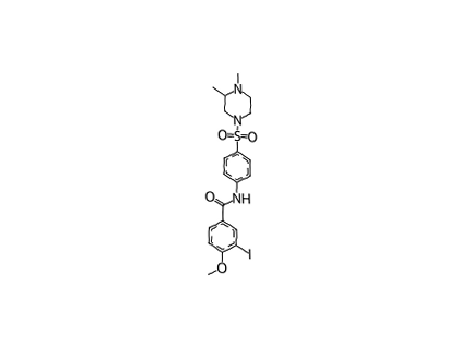 COc1ccc(C(=O)Nc2ccc(S(=O)(=O)N3CCN(C)C(C)C3)cc2)cc1I